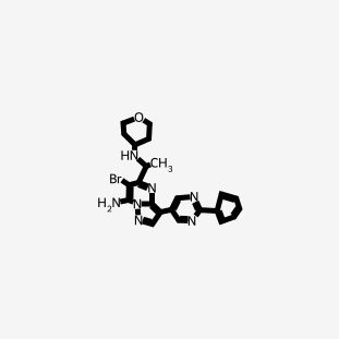 CC(NC1CCOCC1)c1nc2c(-c3cnc(-c4ccccc4)nc3)cnn2c(N)c1Br